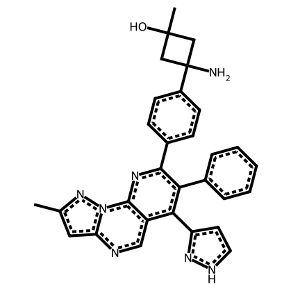 Cc1cc2ncc3c(-c4cc[nH]n4)c(-c4ccccc4)c(-c4ccc(C5(N)CC(C)(O)C5)cc4)nc3n2n1